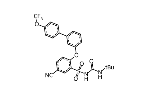 CC(C)(C)NC(=O)NS(=O)(=O)c1cc(C#N)ccc1Oc1cccc(-c2ccc(OC(F)(F)F)cc2)c1